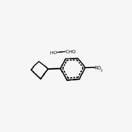 O=CO.O=[N+]([O-])c1ccc(C2CCC2)cc1